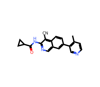 Cc1ccncc1-c1ccc2c(C#N)c(NC(=O)C3CC3)ncc2c1